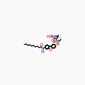 CCCCCCCCCC(=O)Nc1ccc2c(c1)oc1ccc(S(=O)(=O)N3CCSC(C)(C)C3C(=O)NO)cc12